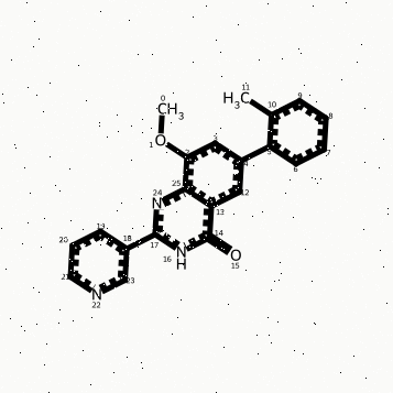 COc1cc(-c2ccccc2C)cc2c(=O)[nH]c(-c3cccnc3)nc12